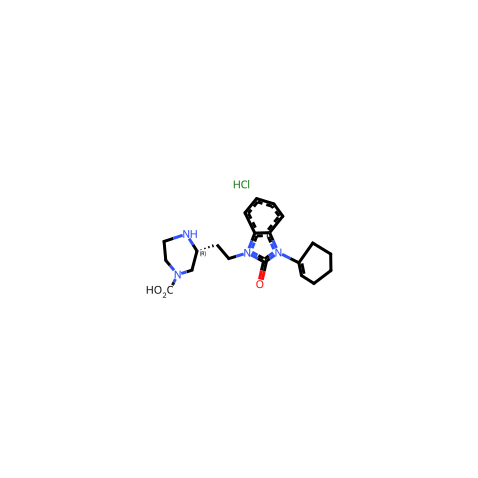 Cl.O=C(O)N1CCN[C@H](CCn2c(=O)n(C3=CCCCC3)c3ccccc32)C1